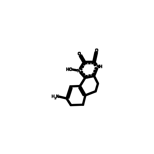 NC1=CC2=C(CC1)CCc1[nH]c(=O)c(=O)n(O)c12